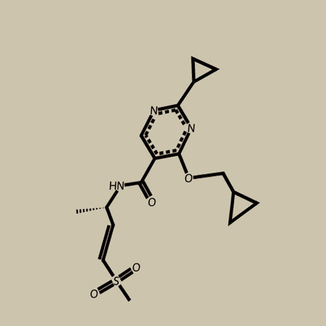 C[C@@H](/C=C/S(C)(=O)=O)NC(=O)c1cnc(C2CC2)nc1OCC1CC1